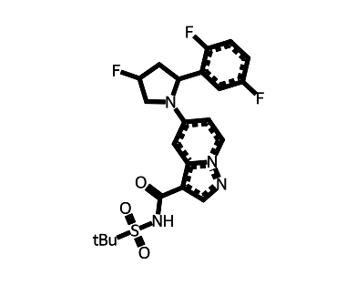 CC(C)(C)S(=O)(=O)NC(=O)c1cnn2ccc(N3CC(F)CC3c3cc(F)ccc3F)cc12